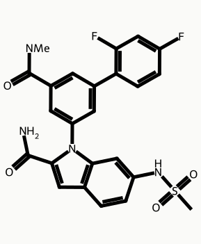 CNC(=O)c1cc(-c2ccc(F)cc2F)cc(-n2c(C(N)=O)cc3ccc(NS(C)(=O)=O)cc32)c1